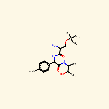 COc1ccc(C(NC(=O)C(N)CO[Si](C)(C)C(C)(C)C)C(=O)NC(C(C)C)C(O)C(F)(F)F)cc1